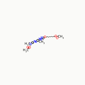 CCC(=O)OCCCCCCCCCOc1ccc(N=Nc2ccc(N=Nc3ccc(N(C)CCOC(=O)CC)cc3)cc2C)nc1